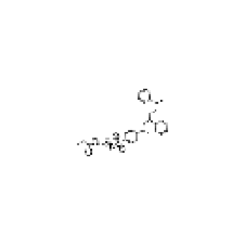 CCC(=O)OCSN(C)S(=O)(=O)c1ccc(C(C)CC(CCC(C)c2ccccc2)c2ccccc2)cc1